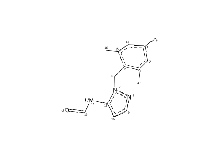 Cc1cc(C)c(Cn2nccc2NC=O)c(C)c1